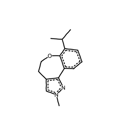 CC(C)c1cccc2c1OCCc1cn(C)nc1-2